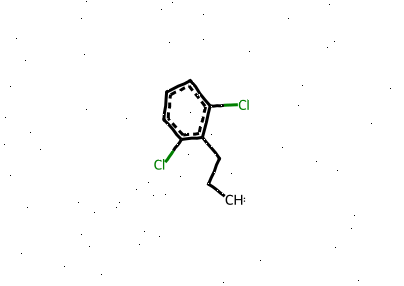 [CH]CCc1c(Cl)cccc1Cl